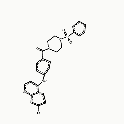 O=C(c1ccc(Nc2ccnc3cc(Cl)ccc23)cc1)N1CCN(S(=O)(=O)c2ccccc2)CC1